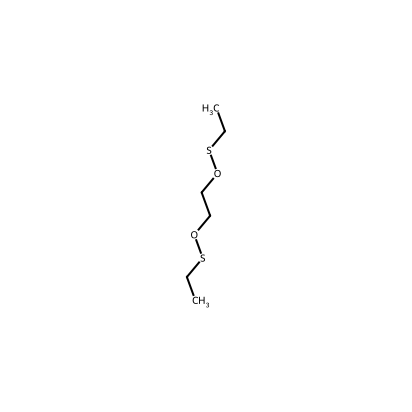 CCSOCCOSCC